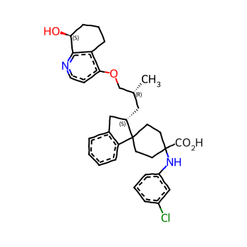 C[C@@H](COc1ccnc2c1CCC[C@@H]2O)C[C@H]1Cc2ccccc2C12CCC(Nc1cccc(Cl)c1)(C(=O)O)CC2